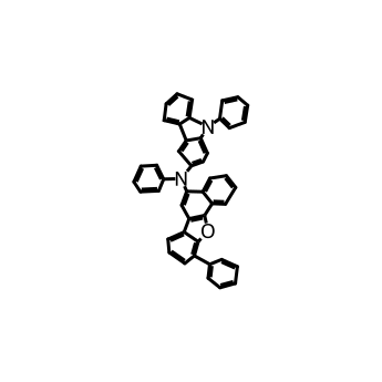 c1ccc(-c2cccc3c2oc2c4ccccc4c(N(c4ccccc4)c4ccc5c(c4)c4ccccc4n5-c4ccccc4)cc32)cc1